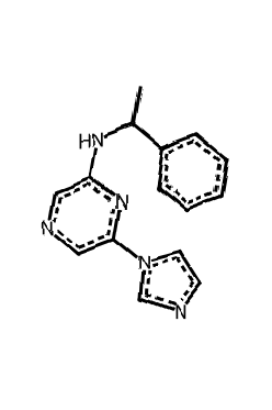 CC(Nc1cncc(-n2ccnc2)n1)c1ccccc1